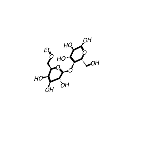 CCOC[C@H]1O[C@@H](O[C@H]2[C@H](O)[C@@H](O)[C@@H](O)O[C@@H]2CO)[C@H](O)[C@@H](O)[C@H]1O